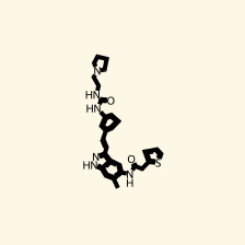 Cc1cc2[nH]nc(C=Cc3cccc(NC(=O)NCCN4CCCC4)c3)c2cc1NC(=O)Cc1cccs1